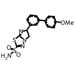 COc1ccc(-c2cccc(C3CN4N=C(S(N)(=O)=O)SC4=N3)c2)cc1